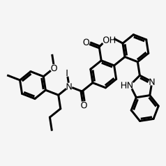 CCCC(c1ccc(C)cc1OC)N(I)C(=O)c1ccc(-c2c(C)cccc2-c2nc3ccccc3[nH]2)c(C(=O)O)c1